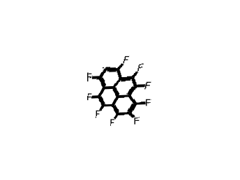 Fc1c(F)c2c(F)c(F)c3c(F)[c]c(F)c4c(F)c(F)c(c1F)c2c34